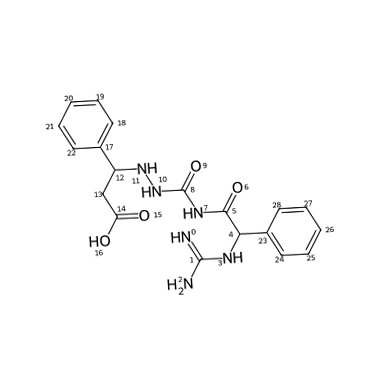 N=C(N)NC(C(=O)NC(=O)NNC(CC(=O)O)c1ccccc1)c1ccccc1